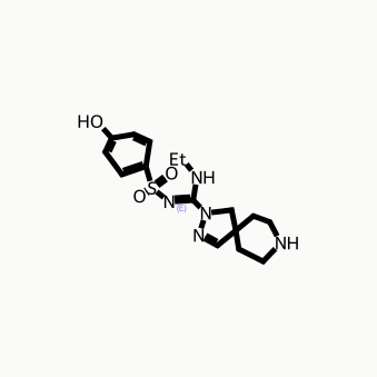 CCN/C(=N\S(=O)(=O)c1ccc(O)cc1)N1CC2(C=N1)CCNCC2